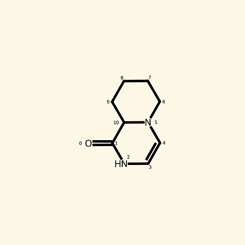 O=C1NC=CN2CCCCC12